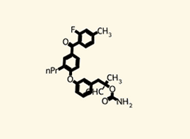 CCCc1cc(C(=O)c2ccc(C)cc2F)ccc1Oc1cccc(C[C@](C)(C=O)OC(N)=O)c1